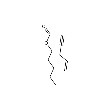 C#CCC=C.CCCCCOC=O